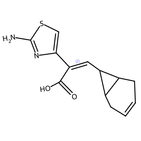 Nc1nc(/C(=C/C2C3CC=CCC23)C(=O)O)cs1